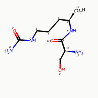 NC(=O)NCCC[C@H](NC(=O)[C@@H](N)CO)C(=O)O